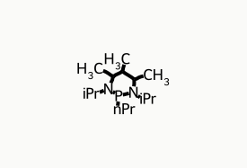 CCCP1N(C(C)C)C(C)C(C)C(C)N1C(C)C